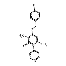 Cc1c(OCc2ccc(F)cc2)cc(C)n(-c2ccncc2)c1=O